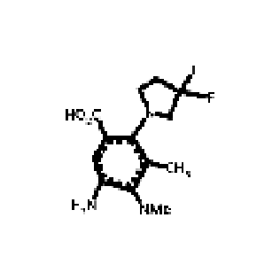 CNc1c(N)cc(C(=O)O)c(N2CCC(F)(F)C2)c1C